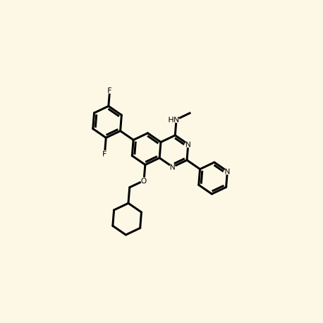 CNc1nc(-c2cccnc2)nc2c(OCC3CCCCC3)cc(-c3cc(F)ccc3F)cc12